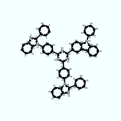 c1ccc(-c2nc3ccccc3n2-c2ccc(-c3nc(-c4ccc(-n5c(-c6ccccc6)nc6ccccc65)cc4)nc(-c4ccc5c(c4)c4ccccc4n5-c4ccccc4)n3)cc2)cc1